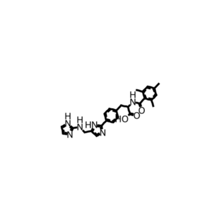 Cc1cc(C)c(C(=O)NC(Cc2ccc(-c3ncc(CNc4ncc[nH]4)[nH]3)cc2)C(=O)O)c(C)c1